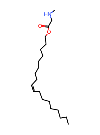 CCCCCCCC/C=C\CCCCCCCCOC(=O)CNC